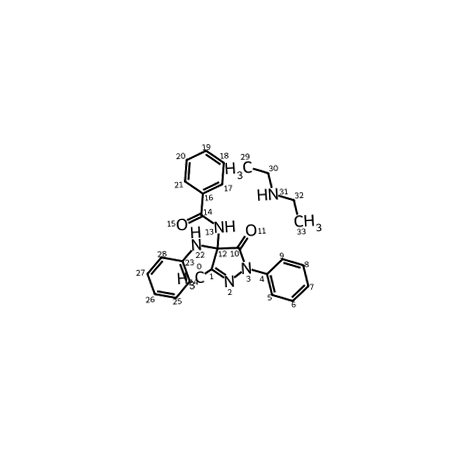 CC1=NN(c2ccccc2)C(=O)C1(NC(=O)c1ccccc1)Nc1ccccc1.CCNCC